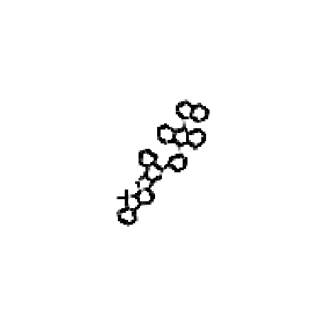 CC1(C)c2ccccc2-c2ccc3c(oc4c5ccccc5c(-c5cccc(-c6c7ccccc7c(-c7cccc8ccccc78)c7ccccc67)c5)cc34)c21